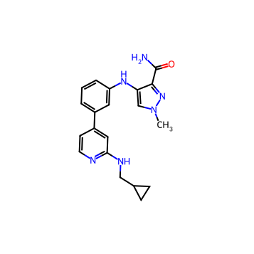 Cn1cc(Nc2cccc(-c3ccnc(NCC4CC4)c3)c2)c(C(N)=O)n1